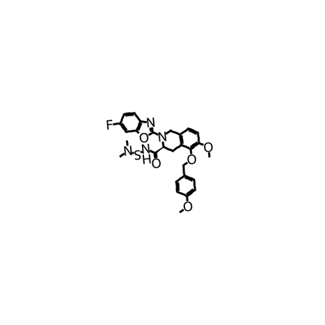 COc1ccc(COc2c(OC)ccc3c2C[C@@H](C(=O)NSN(C)C)N(c2nc4ccc(F)cc4o2)C3)cc1